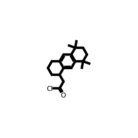 CC1(C)CCC(C)(C)c2cc3c(cc21)CCCC3CC(=O)Cl